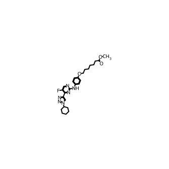 COC(=O)CCCCCCOc1ccc(Nc2ncc(F)c(-c3cn(C4CCCCC4)nn3)n2)cc1